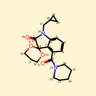 O=C(c1cccc2c1C1(OCCCO1)C(=O)N2CC1CC1)N1CCCCC1